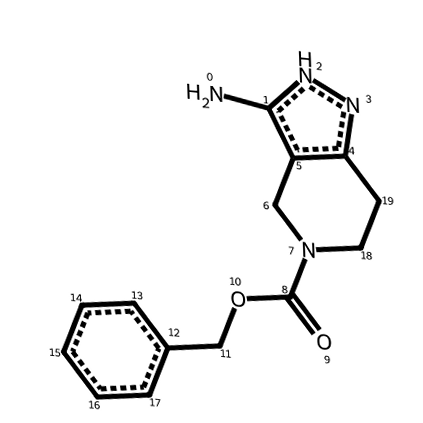 Nc1[nH]nc2c1CN(C(=O)OCc1ccccc1)CC2